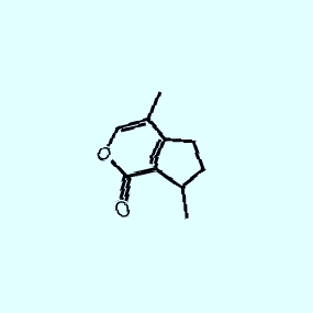 Cc1coc(=O)c2c1CCC2C